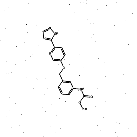 CC(C)(C)OC(=O)Nc1cccc(COc2ccc(-c3ccn[nH]3)nc2)c1